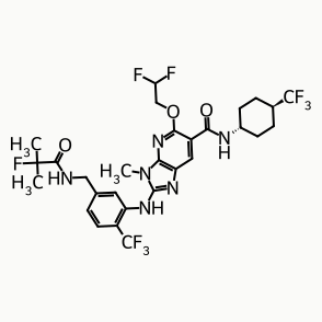 Cn1c(Nc2cc(CNC(=O)C(C)(C)F)ccc2C(F)(F)F)nc2cc(C(=O)N[C@H]3CC[C@H](C(F)(F)F)CC3)c(OCC(F)F)nc21